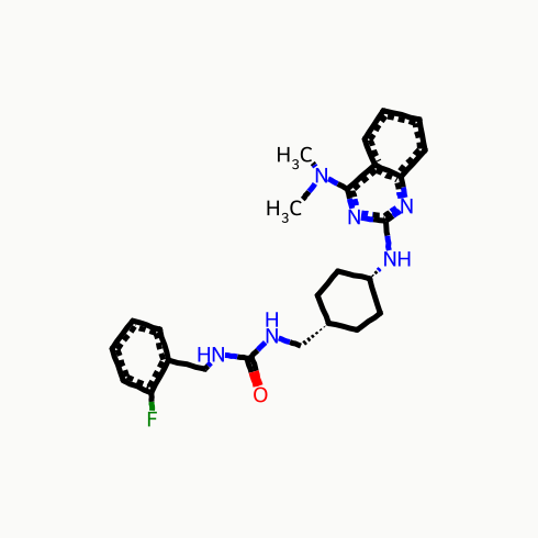 CN(C)c1nc(N[C@H]2CC[C@@H](CNC(=O)NCc3ccccc3F)CC2)nc2ccccc12